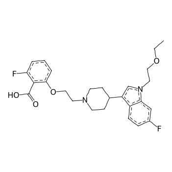 CCOCCn1cc(C2CCN(CCOc3cccc(F)c3C(=O)O)CC2)c2ccc(F)cc21